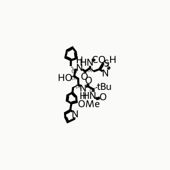 COC(=O)N[C@H](C(=O)N[C@@H](Cc1ccc(-c2ccccn2)cc1)C[C@H](O)[C@H](Cc1ccccc1)NC(=O)[C@H](Cc1cscn1)NC(=O)O)C(C)(C)C